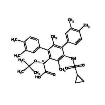 Cc1ccc(-c2c(C)c(-c3ccc(C)c(C)c3)c([C@@H](OC(C)(C)C)C(=O)O)c(C)c2NS(=O)(=O)C2CC2)cc1C